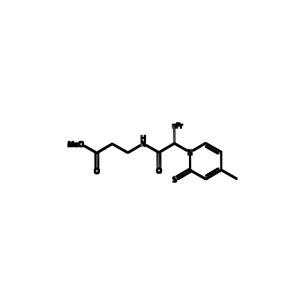 CCCC(C(=O)NCCC(=O)OC)n1ccc(C)cc1=S